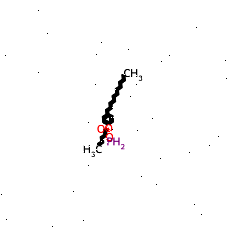 CCCCCCCCCCCCc1ccc(OC(=O)C(CCCC)OP)cc1